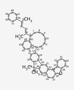 C/C(=C\C=C(/C)c1ccccccc(-c2ccc3c(c2)-c2cc4c(ccc5oc6ccccc6c54)cc2C3(C)C)c2ccccc12)c1ccccc1